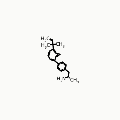 C=CC(C)(C)C1=C\C=C\C(c2ccc(C[C@@H](C)N)cc2)=C/C=C\1